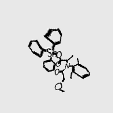 COCC(=O)N(c1c(C)cccc1C)C(C)C(=O)[O][Sn]([c]1ccccc1)([c]1ccccc1)[c]1ccccc1